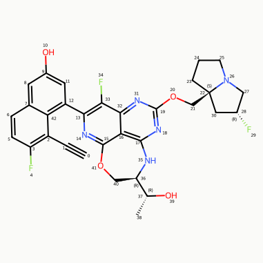 C#Cc1c(F)ccc2cc(O)cc(-c3nc4c5c(nc(OC[C@@]67CCCN6C[C@H](F)C7)nc5c3F)N[C@@H]([C@@H](C)O)CO4)c12